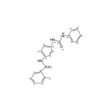 Cc1ccccc1C(=O)Nc1ccc(NC(=O)Nc2ccccc2)cc1